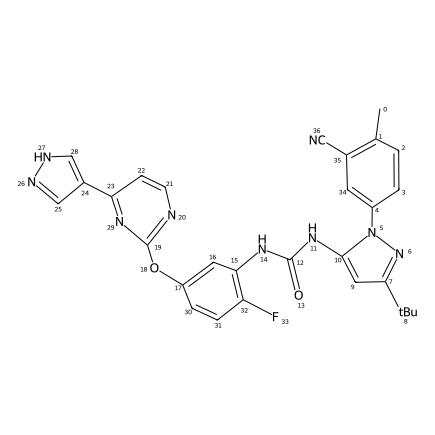 Cc1ccc(-n2nc(C(C)(C)C)cc2NC(=O)Nc2cc(Oc3nccc(-c4cn[nH]c4)n3)ccc2F)cc1C#N